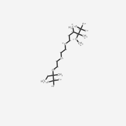 CCC(C)(OCCOCCOCCC(C)C(C)(OC)C(F)(F)F)C(F)(F)F